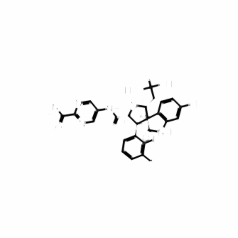 CC(C)(C)C[C@@H]1N[C@@H](C(=O)Nc2cnc(C(N)=O)nc2)[C@H](c2cccc(I)c2F)[C@]12C(=O)Nc1cc(Cl)ccc12